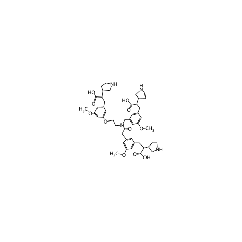 COc1cc(CC(=O)N(CCOc2cc(CC(C(=O)O)C3CCNC3)cc(OC)c2)Cc2cc(CC(C(=O)O)C3CCNC3)cc(OC)c2)cc(CC(C(=O)O)C2CCNC2)c1